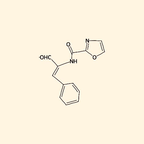 O=[C]C(=Cc1ccccc1)NC(=O)c1ncco1